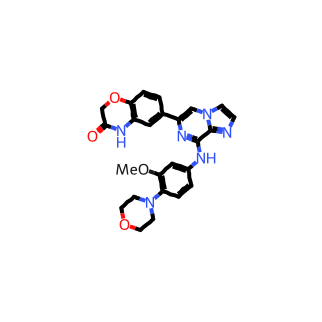 COc1cc(Nc2nc(-c3ccc4c(c3)NC(=O)CO4)cn3ccnc23)ccc1N1CCOCC1